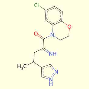 CC(CC(=N)C(=O)N1CCOc2ccc(Cl)cc21)c1cn[nH]c1